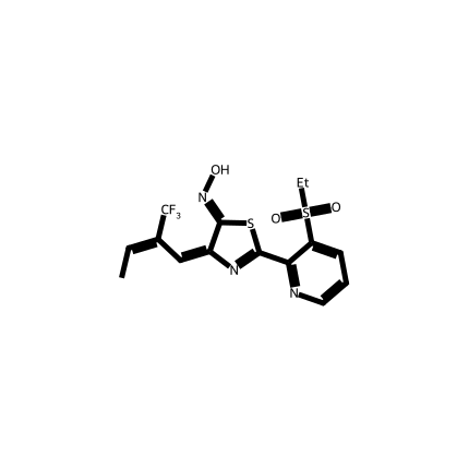 C\C=C(/C=C1/N=C(c2ncccc2S(=O)(=O)CC)S/C1=N\O)C(F)(F)F